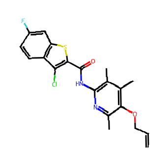 C=CCOc1c(C)nc(NC(=O)c2sc3cc(F)ccc3c2Cl)c(C)c1C